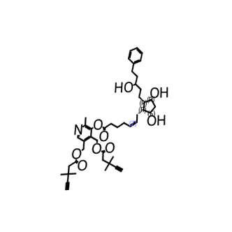 C#CC(C)(C)CC(=O)OCc1cnc(C)c(OC(=O)CCC/C=C\C[C@@H]2[C@@H](CCC(O)CCc3ccccc3)[C@H](O)C[C@@H]2O)c1COC(=O)CC(C)(C)C#C